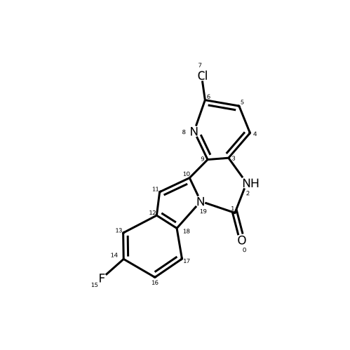 O=c1[nH]c2ccc(Cl)nc2c2cc3cc(F)ccc3n12